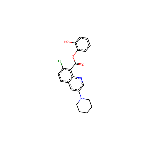 O=C(Oc1ccccc1O)c1c(Cl)ccc2cc(N3CCCCC3)cnc12